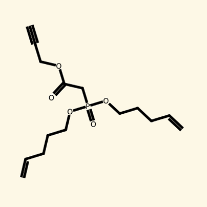 C#CCOC(=O)CP(=O)(OCCCC=C)OCCCC=C